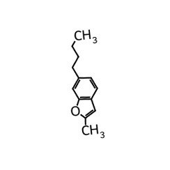 CCCCc1ccc2cc(C)oc2c1